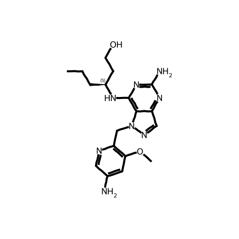 CCC[C@@H](CCO)Nc1nc(N)nc2cnn(Cc3ncc(N)cc3OC)c12